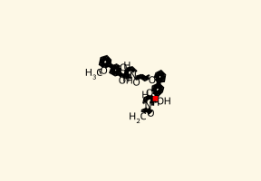 C=CC(=O)N1CC[C@@H]2Oc3cc(-c4ccccc4OC/C=C/C(=O)N4CC[C@H]5Oc6cc(-c7ccccc7OC)ccc6C(O)[C@@H]5C4)ccc3C(O)[C@@H]2C1